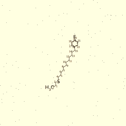 CCCSCCCCCCCCCCCCc1ccc(F)cc1